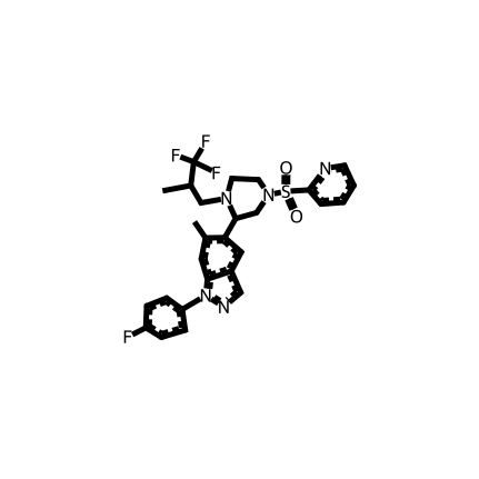 Cc1cc2c(cnn2-c2ccc(F)cc2)cc1C1CN(S(=O)(=O)c2ccccn2)CCN1CC(C)C(F)(F)F